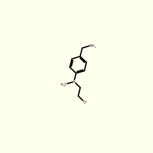 CN(CCCl)c1ccc(CN)cc1